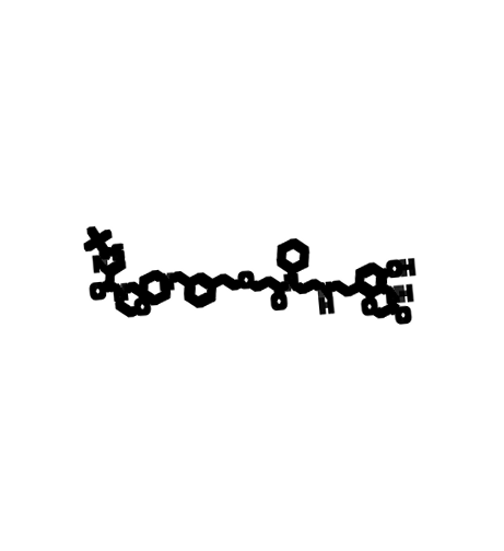 CC(C)(C)c1nc(C(=O)N2CCOC3(CCN(Cc4cccc(CCOCCC(=O)N(CCNCCc5ccc(O)c6c5OCC(=O)N6)C5CCCCC5)c4)CC3)C2)cs1